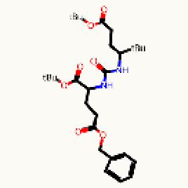 CC(C)(C)OC(=O)CCC(NC(=O)NC(CCC(=O)OCc1ccccc1)C(=O)OC(C)(C)C)C(C)(C)C